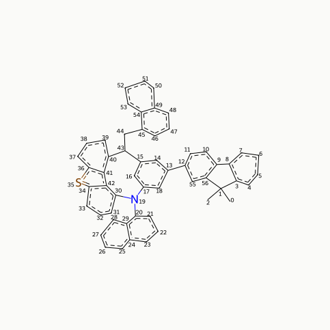 CC1(C)c2ccccc2-c2ccc(-c3cc4cc(c3)N(c3cccc5ccccc35)c3cccc5sc6cccc(c6c35)C4Cc3cccc4ccccc34)cc21